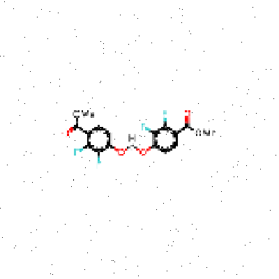 COC(=O)c1ccc(OBOc2ccc(C(=O)OC)c(F)c2F)c(F)c1F